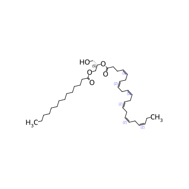 CC/C=C\C/C=C\C/C=C\C/C=C\C/C=C\C/C=C\CCC(=O)O[C@@H](CO)COC(=O)CCCCCCCCCCCCC